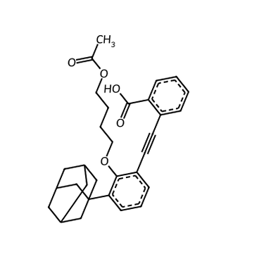 CC(=O)OCCCCOc1c(C#Cc2ccccc2C(=O)O)cccc1C12CC3CC(CC(C3)C1)C2